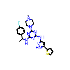 CC(Nc1nc(Nc2cc(-c3cccs3)[nH]n2)nc(N2CCN(C)CC2)n1)c1ccc(F)cc1